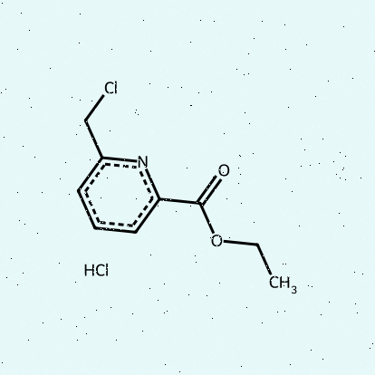 CCOC(=O)c1cccc(CCl)n1.Cl